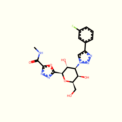 CNC(=O)c1nnc([C@@H]2O[C@H](CO)[C@H](O)[C@H](n3cc(-c4cccc(F)c4)nn3)[C@H]2O)o1